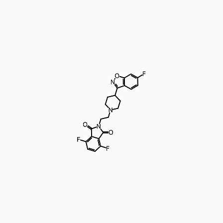 O=C1c2c(F)ccc(F)c2C(=O)N1CCN1CCC(c2noc3cc(F)ccc23)CC1